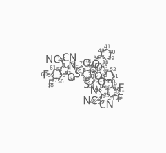 N#CC(C#N)=C1/C(=N/c2cc3c(s2)-c2sc(/N=C4\C(=O)c5cc(F)c(F)cc5C4=C(C#N)C#N)cc2C3(C(=O)OCc2ccccc2)C(=O)OCc2ccccc2)C(=O)c2cc(F)c(F)cc21